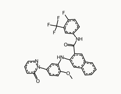 COc1ccc(-n2ncccc2=O)cc1Nc1cc2ccccc2cc1C(=O)Nc1ccc(F)c(C(F)(F)F)c1